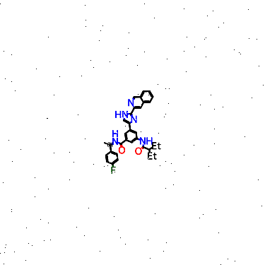 CCC(CC)C(=O)Nc1cc(C(=O)N[C@H](C)c2ccc(F)cc2)cc(-c2c[nH]c(-c3cc4ccccc4cn3)n2)c1